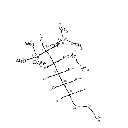 CC(C)=O.CO[Si](OC)(OC)C(F)(F)C(F)(F)C(F)(F)C(F)(F)C(F)(F)CCC(F)(F)F.C[S+](C)[O-]